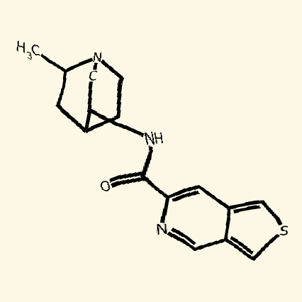 CC1CC2CCN1CC2NC(=O)c1cc2cscc2cn1